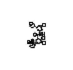 O=C(Nc1cc(Cl)cc(C2CCOC2)c1)c1cc(N2CCCS2(=O)=O)cc(Cl)c1Cl